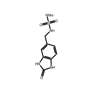 CNS(=O)(=O)NCc1ccc2[nH]c(=O)[nH]c2c1